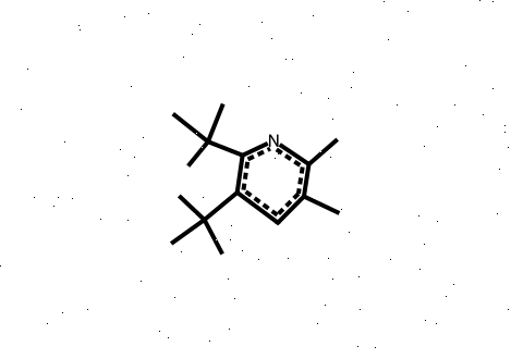 Cc1cc(C(C)(C)C)c(C(C)(C)C)nc1C